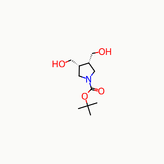 CC(C)(C)OC(=O)N1C[C@@H](CO)[C@@H](CO)C1